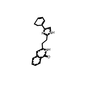 O=c1[nH]c(CCc2nc(C3=CC=CCC3)c[nH]2)cc2ccccc12